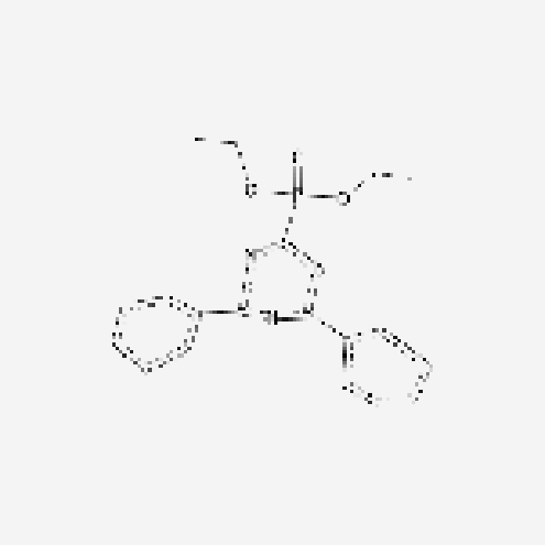 CCOP(=O)(OCC)c1nc(-c2ccccc2)nc(-c2ccccc2)n1